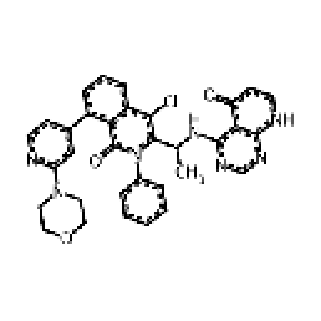 C[C@H](Nc1ncnc2[nH]ccc(=O)c12)c1c(Cl)c2cccc(-c3ccnc(N4CCOCC4)c3)c2c(=O)n1-c1ccccc1